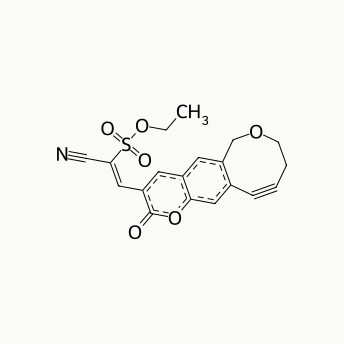 CCOS(=O)(=O)C(C#N)=Cc1cc2cc3c(cc2oc1=O)C#CCCOC3